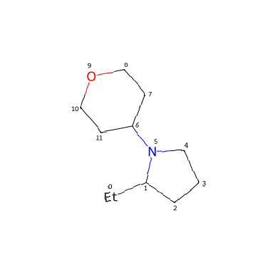 CCC1CCCN1C1CCOCC1